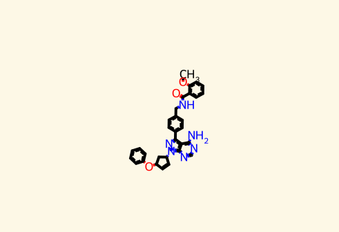 COc1ccccc1C(=O)NCc1ccc(-c2nn(C3C=CC(Oc4ccccc4)C3)c3ncnc(N)c23)cc1